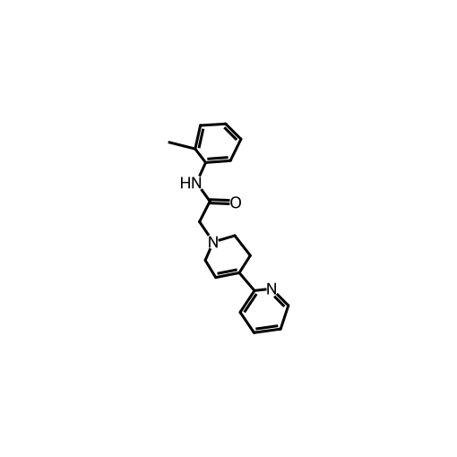 Cc1ccccc1NC(=O)CN1CC=C(c2ccccn2)CC1